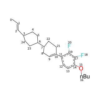 C/C=C/C1CCC(C2CC=C(c3ccc(OCCCC)c(F)c3F)CC2)CC1